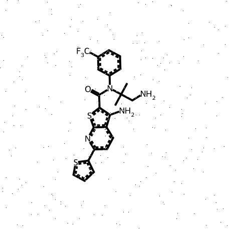 CC(C)(CN)N(C(=O)c1sc2nc(-c3cccs3)ccc2c1N)c1cccc(C(F)(F)F)c1